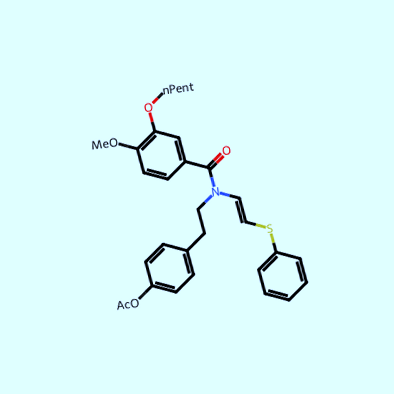 CCCCCOc1cc(C(=O)N(C=CSc2ccccc2)CCc2ccc(OC(C)=O)cc2)ccc1OC